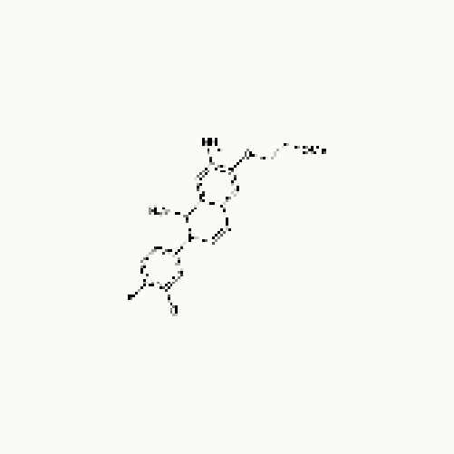 COCCOc1cc2c(cc1N)C(N)N(c1ccc(F)c(Cl)c1)C=N2